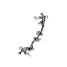 CN1Cc2c(C#N)cc(Cl)cc2C(c2cc(S(=O)(=O)N[C@H]3CCN(CCOCCNC(=O)NCCCCNC(=O)NCCOCCN4CC[C@H](NS(=O)(=O)c5ccc(F)c(C6CN(C)Cc7c(C#N)cc(Cl)cc76)c5)C4)C3)ccc2F)C1